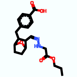 CCCOC(=O)CN/N=C\C1C2CCC(O2)C1Cc1ccc(C(=O)O)cc1